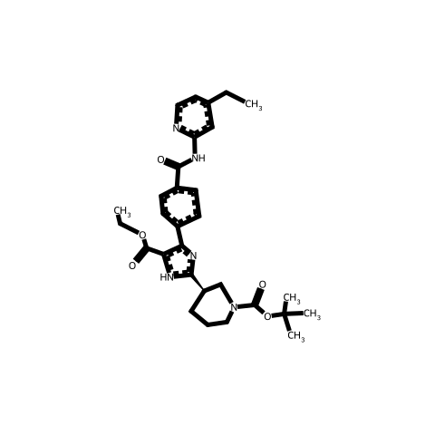 CCOC(=O)c1[nH]c([C@@H]2CCCN(C(=O)OC(C)(C)C)C2)nc1-c1ccc(C(=O)Nc2cc(CC)ccn2)cc1